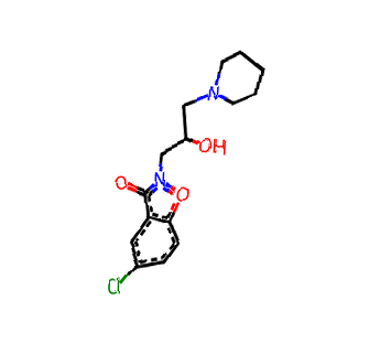 O=c1c2cc(Cl)ccc2on1CC(O)CN1CCCCC1